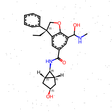 CC[C@@]1(c2ccccc2)COc2c(C(O)NC)cc(C(=O)N[C@H]3[C@@H]4C[C@@H](O)C[C@@H]43)cc21